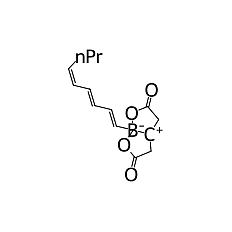 CCC\C=C/C=C/C=C/[B-]12OC(=O)C[C+]1CC(=O)O2